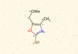 COCc1oc(S)nc1C